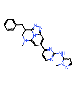 CN1CC(Cc2ccccc2)c2nnc3cc(-c4ccnc(Nc5ccnn5C)n4)cc1n23